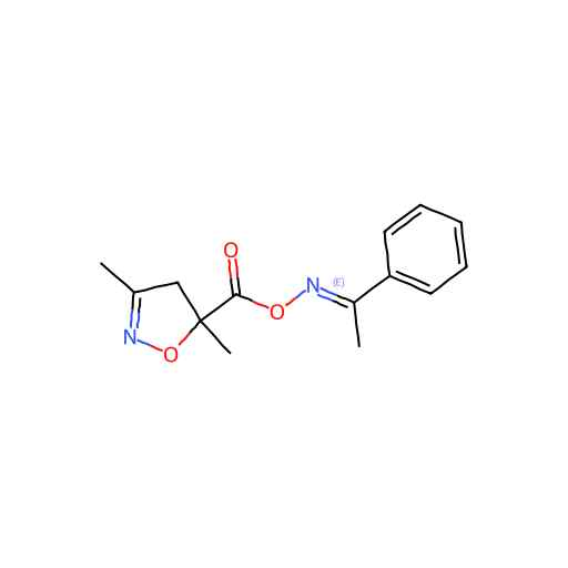 CC1=NOC(C)(C(=O)O/N=C(\C)c2ccccc2)C1